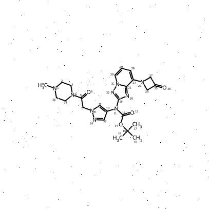 CN1CCN(C(=O)Cn2cc(N(C(=O)OC(C)(C)C)c3nc4c(N5CC(=O)C5)cccn4n3)cn2)CC1